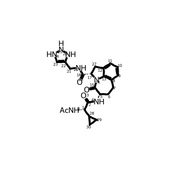 CC(=O)N[C@H](C(=O)N[C@H]1CCc2cccc3c2N(C1=O)[C@H](C(=O)NCC1=CNNN1)C3)C1CC1